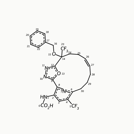 O=C(O)Nc1cc(C(F)(F)F)c2nc1-c1nnc(o1)C(OCc1ccccc1)(C(F)(F)F)CCC=CCCC2